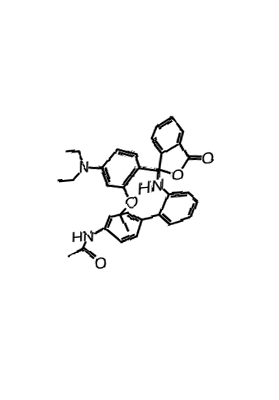 CCOc1cc(N(CC)CC)ccc1C1(Nc2ccccc2-c2ccc(NC(C)=O)cc2)OC(=O)c2ccccc21